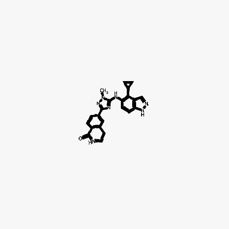 Cn1nc(-c2ccc3c(c2)CCNC3=O)nc1Nc1ccc2[nH]ncc2c1C1CC1